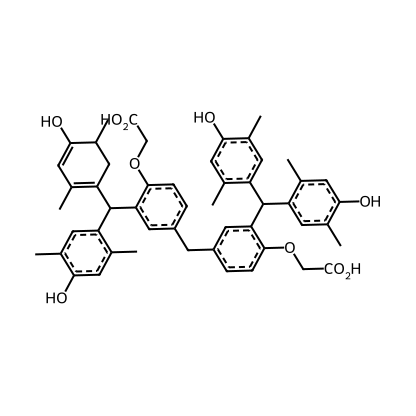 CC1=C(C(c2cc(C)c(O)cc2C)c2cc(Cc3ccc(OCC(=O)O)c(C(c4cc(C)c(O)cc4C)c4cc(C)c(O)cc4C)c3)ccc2OCC(=O)O)CC(C)C(O)=C1